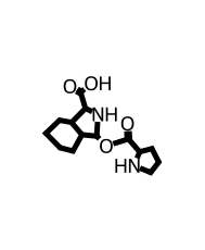 O=C(OC1NC(C(=O)O)C2CCCCC12)C1CCCN1